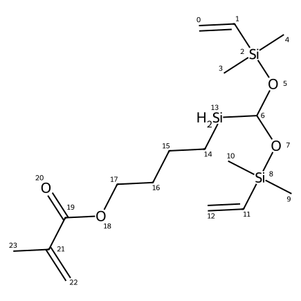 C=C[Si](C)(C)OC(O[Si](C)(C)C=C)[SiH2]CCCCOC(=O)C(=C)C